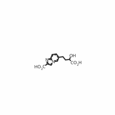 O=C(O)c1cn2cc(CCC(O)C(=O)O)ccc2n1